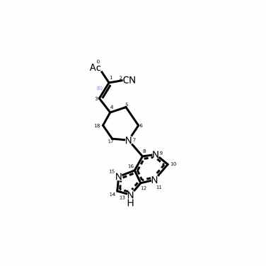 CC(=O)/C(C#N)=C/C1CCN(c2ncnc3[nH]cnc23)CC1